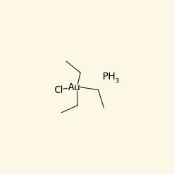 C[CH2][Au]([Cl])([CH2]C)[CH2]C.P